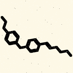 CCCCC=Cc1ccc(Cc2ccc(CCC)cc2)cc1